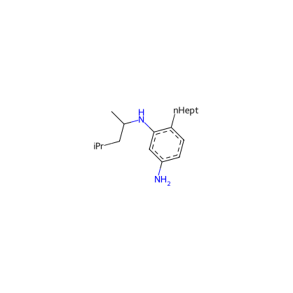 CCCCCCCc1ccc(N)cc1NC(C)CC(C)C